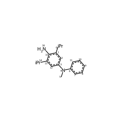 CC(C)c1cc(N(C)c2ccccc2)cc(C(C)C)c1N